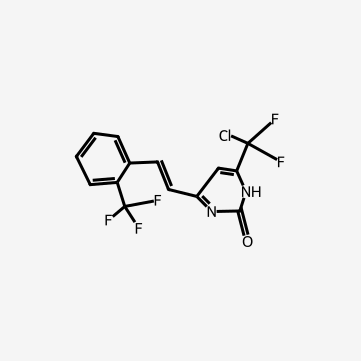 O=c1nc(C=Cc2ccccc2C(F)(F)F)cc(C(F)(F)Cl)[nH]1